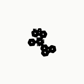 c1ccc(-c2nc(-c3cc4c5c(cccc5c3)-c3ccccc3-4)nc(-c3cccc4oc5ncccc5c34)n2)cc1